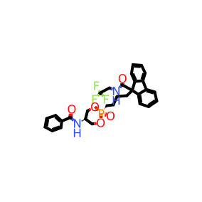 O=C(N[C@H]1CO[P@](=O)(CCCCC2(C(=O)NCC(F)(F)F)c3ccccc3-c3ccccc32)OC1)c1ccccc1